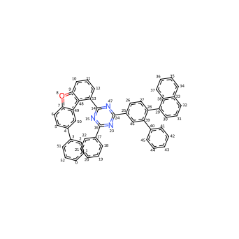 c1ccc(-c2ccc3oc4cccc(-c5nc(-c6ccccc6)nc(-c6ccc(-c7cccc8ccccc78)c(-c7ccccc7)c6)n5)c4c3c2)cc1